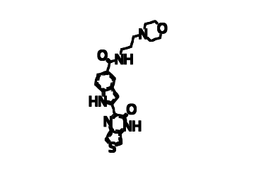 O=C(NCCCN1CCOCC1)c1ccc2[nH]c(-c3nc4cscc4[nH]c3=O)cc2c1